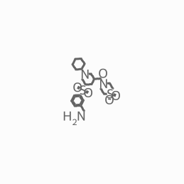 NCc1cccc(S(=O)(=O)C2CC(C(=O)N3CCS(=O)(=O)CC3)CN(C3CCCCC3)C2)c1